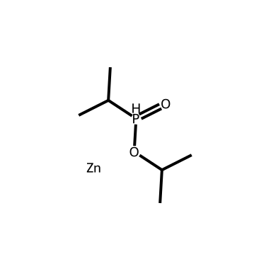 CC(C)O[PH](=O)C(C)C.[Zn]